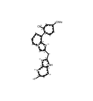 COc1ccc(-c2cccn3cc(Cc4nc5nc(F)ccc5[nH]4)nc23)c(Cl)c1